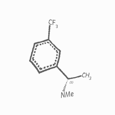 CN[C@@H](C)c1cccc(C(F)(F)F)c1